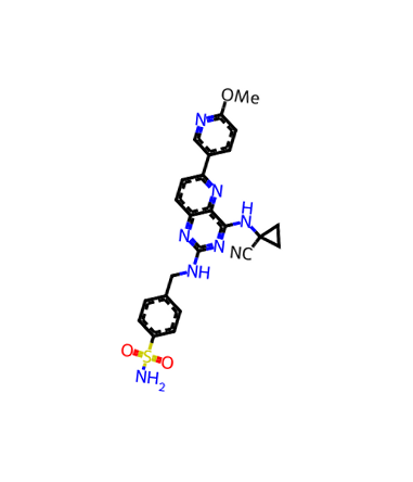 COc1ccc(-c2ccc3nc(NCc4ccc(S(N)(=O)=O)cc4)nc(NC4(C#N)CC4)c3n2)cn1